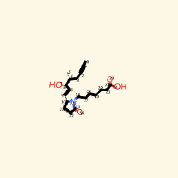 CC#CC[C@@H](C)[C@@H](O)C=C[C@H]1CCC(=O)N1CCCCCCC(=O)O